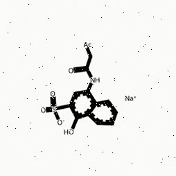 CC(=O)CC(=O)Nc1cc(S(=O)(=O)[O-])c(O)c2ccccc12.[Na+]